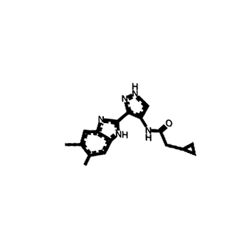 Cc1cc2nc(-c3n[nH]cc3NC(=O)CC3CC3)[nH]c2cc1C